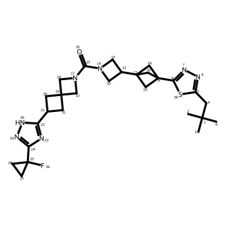 CC(C)(C)Cc1nnc(C23CC(C4CN(C(=O)N5CC6(CC(c7nc(C8(F)CC8)n[nH]7)C6)C5)C4)(C2)C3)s1